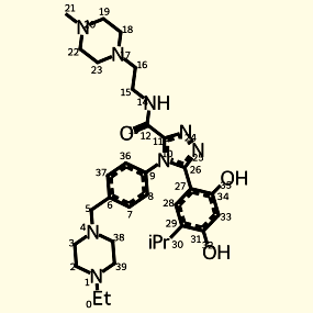 CCN1CCN(Cc2ccc(-n3c(C(=O)NCCN4CCN(C)CC4)nnc3-c3cc(C(C)C)c(O)cc3O)cc2)CC1